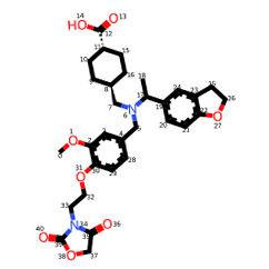 COc1cc(CN(C[C@H]2CC[C@H](C(=O)O)CC2)C(C)c2ccc3c(c2)CCO3)ccc1OCCN1C(=O)COC1=O